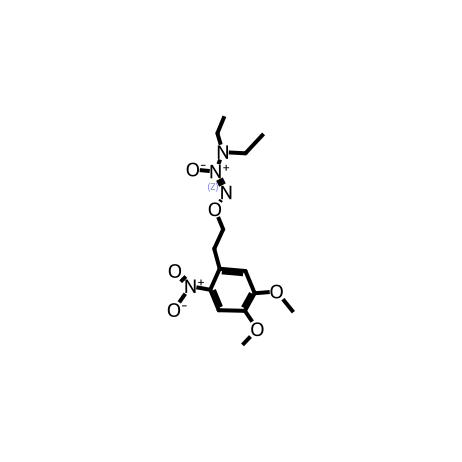 CCN(CC)/[N+]([O-])=N/OCCc1cc(OC)c(OC)cc1[N+](=O)[O-]